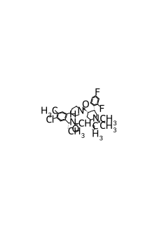 CC[C@@H](NC(C)=O)c1cc(Cl)c(C)cc1C1CCN(C(=O)[C@@H]2CCN(C(C)(C)C)C[C@H]2c2ccc(F)cc2F)CC1